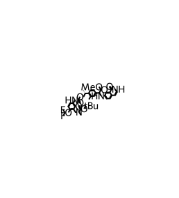 COC(=O)C(Nc1ccc2cc[nH]c(=O)c2c1)c1ccc([C@@H](C)COC(=O)Nc2ccc(OC(F)F)c(CN(C)C(=O)OC(C)(C)C)c2)c(C)c1